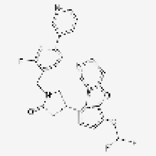 O=C1CC(c2ccc(OC(F)F)c3oc4ccncc4c23)CN1Cc1ccc(-c2cccnc2)cc1F